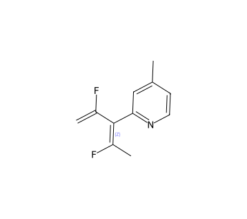 C=C(F)/C(=C(/C)F)c1cc(C)ccn1